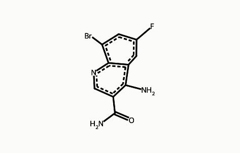 NC(=O)c1cnc2c(Br)cc(F)cc2c1N